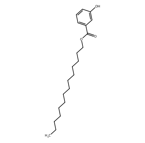 CCCCCCCCCCCCCCOC(=O)c1cccc(O)c1